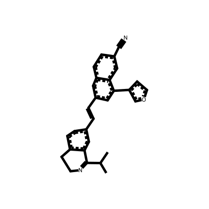 CC(C)C1=NCCc2ccc(/C=C/c3cc(-c4ccoc4)c4cc(C#N)ccc4c3)cc21